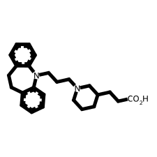 O=C(O)CCC1CCCN(CCCN2c3ccccc3CCc3ccccc32)C1